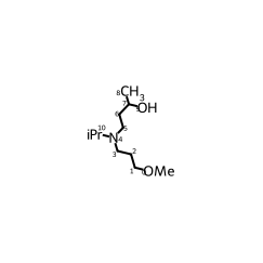 COCCCN(CCC(C)O)C(C)C